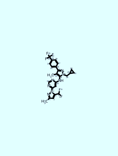 Cc1cc(C(F)F)n(-c2cc(Nc3c(C)c(-c4ccc(C(F)(F)F)cc4)nn3CC3CC3)ncn2)n1